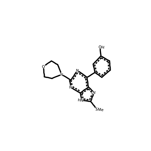 CSc1nc2c(-c3cccc(O)c3)nc(N3CCOCC3)nc2[nH]1